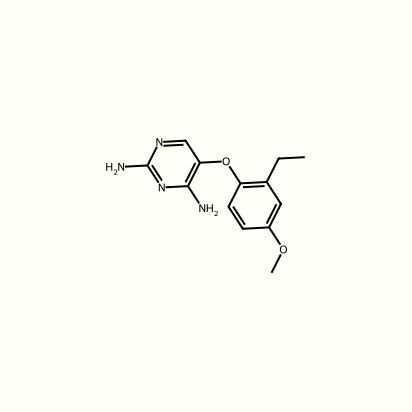 CCc1cc(OC)ccc1Oc1cnc(N)nc1N